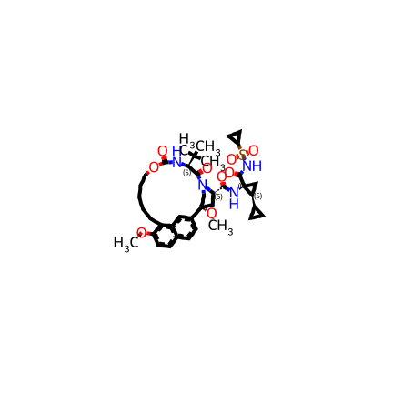 COc1ccc2ccc3cc2c1CCCCCOC(=O)N[C@@H](C(C)(C)C)C(=O)N1C[C@@]3(OC)C[C@H]1C(=O)N[C@]1(C(=O)NS(=O)(=O)C2CC2)C[C@H]1C1CC1